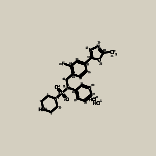 Cl.Cl.O=S(=O)(N1CCNCC1)N(Cc1ccc(-c2nnc(C(F)(F)F)o2)cc1F)c1cccnc1